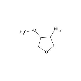 COC1COCC1N